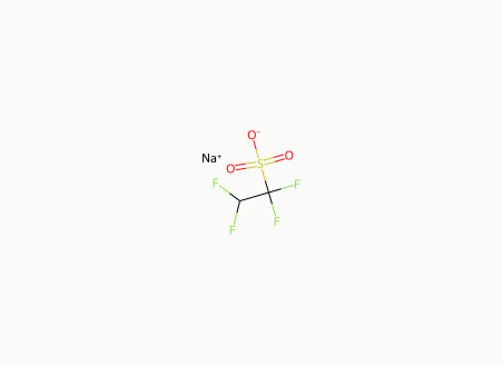 O=S(=O)([O-])C(F)(F)C(F)F.[Na+]